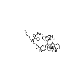 COc1cnc(OCCN(CCCF)C(=O)OC(C)(C)C)cc1[C@@H]1c2[nH]c3ccccc3c2C[C@@H](C)N1CC(F)(F)F